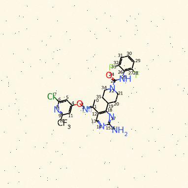 C/C(=N\Oc1cc(Cl)nc(C(F)(F)F)c1)c1cnc(N)nc1C1CCN(C(=O)Nc2c(F)cccc2F)CC1